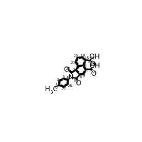 Cc1ccc(N2C(=O)c3cc(C(=O)O)c4c(C(=O)O)cccc4c3C2=O)cc1